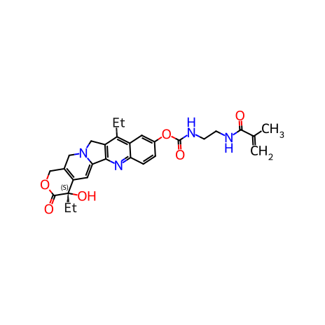 C=C(C)C(=O)NCCNC(=O)Oc1ccc2nc3c(c(CC)c2c1)CN1CC2=C(C=C31)[C@@](O)(CC)C(=O)OC2